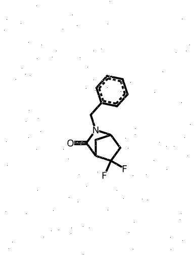 O=C1C2CC(CC2(F)F)N1Cc1ccccc1